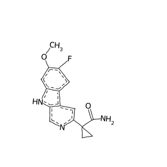 COc1cc2[nH]c3cnc(C4(C(N)=O)CC4)cc3c2cc1F